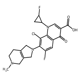 CN1CCC2=C(C1)CN(c1c(F)cc3c(=O)c(C(=O)O)cn(C4CC4F)c3c1Cl)C2